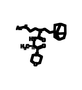 CC(=O)SCCN(CCC12CC3CC(CC(C3)C1)C2)C(=O)N[C@@H](C)C(=O)N1CCOCC1